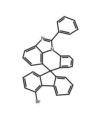 Brc1cccc2c1-c1ccccc1C21c2ccccc2-n2c(-c3ccccc3)nc3cccc1c32